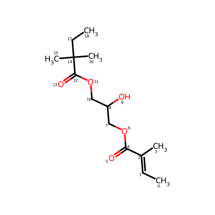 C/C=C(\C)C(=O)OCC(O)COC(=O)C(C)(C)CC